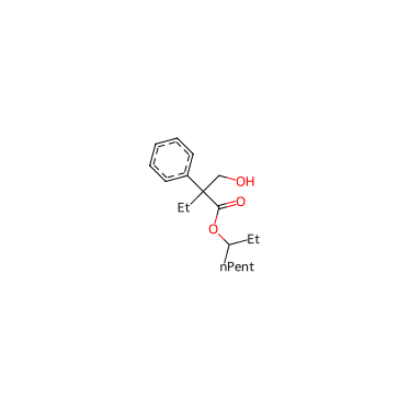 CCCCCC(CC)OC(=O)C(CC)(CO)c1ccccc1